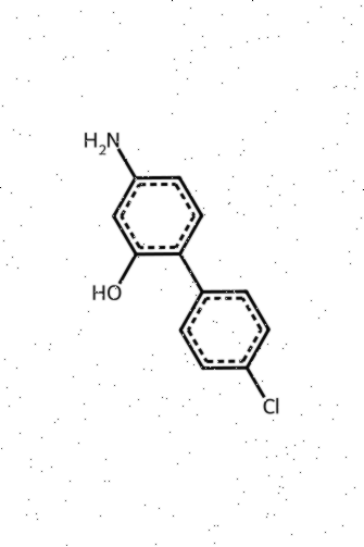 Nc1ccc(-c2ccc(Cl)cc2)c(O)c1